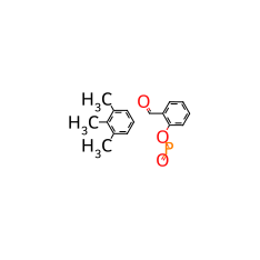 Cc1cccc(C)c1C.O=Cc1ccccc1OP=O